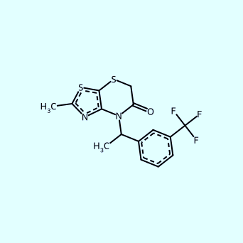 Cc1nc2c(s1)SCC(=O)N2C(C)c1cccc(C(F)(F)F)c1